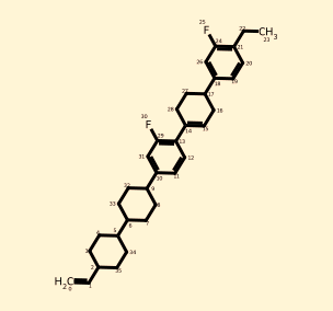 C=CC1CCC(C2CCC(c3ccc(C4=CCC(c5ccc(CC)c(F)c5)CC4)c(F)c3)CC2)CC1